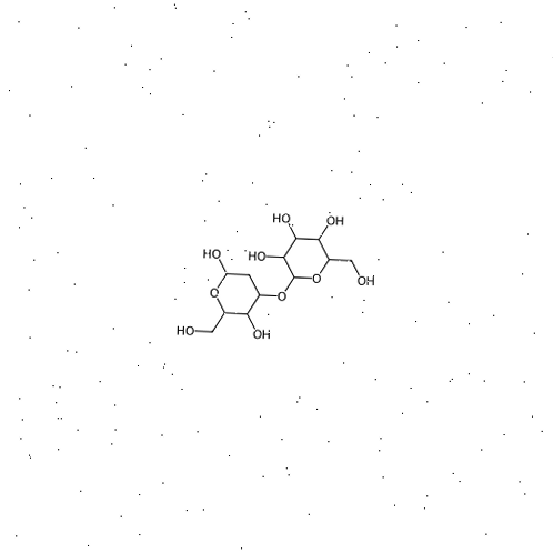 OCC1OC(O)CC(OC2OC(CO)C(O)C(O)C2O)C1O